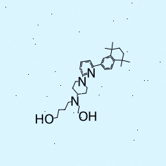 CC1(C)CCC(C)(C)c2cc(-c3cccc(N4CCC(N(CCO)CCCCO)CC4)n3)ccc21